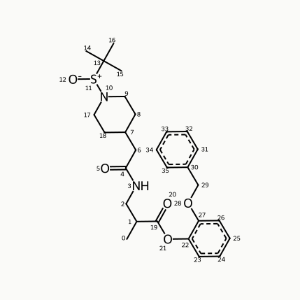 CC(CNC(=O)CC1CCN([S+]([O-])C(C)(C)C)CC1)C(=O)Oc1ccccc1OCc1ccccc1